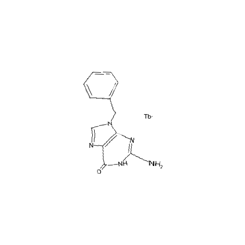 Nc1nc2c(ncn2Cc2ccccc2)c(=O)[nH]1.[Tb]